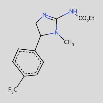 CCOC(=O)NC1=NCC(c2ccc(C(F)(F)F)cc2)N1C